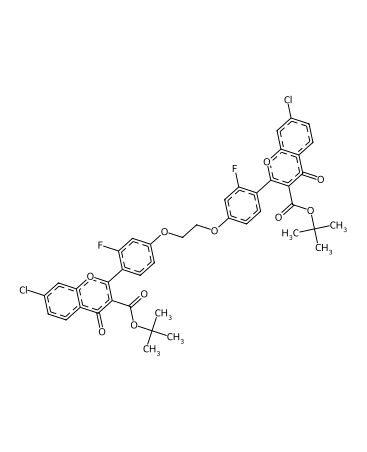 CC(C)(C)OC(=O)c1c(-c2ccc(OCCOc3ccc(-c4oc5cc(Cl)ccc5c(=O)c4C(=O)OC(C)(C)C)c(F)c3)cc2F)oc2cc(Cl)ccc2c1=O